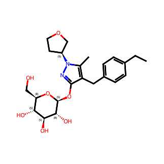 CCc1ccc(Cc2c(O[C@@H]3O[C@H](CO)[C@@H](O)[C@H](O)[C@H]3O)nn([C@H]3CCOC3)c2C)cc1